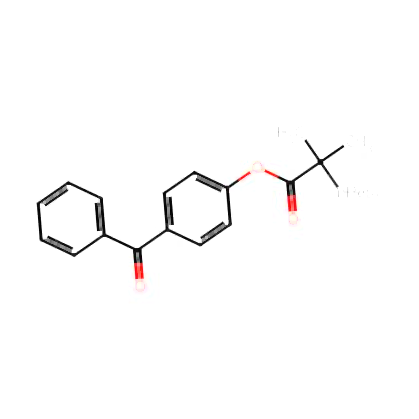 CCCCCCCC(C)(C)C(=O)Oc1ccc(C(=O)c2ccccc2)cc1